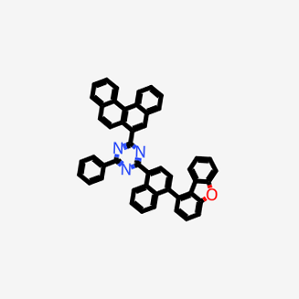 c1ccc(-c2nc(-c3ccc(-c4cccc5oc6ccccc6c45)c4ccccc34)nc(-c3cc4ccccc4c4c3ccc3ccccc34)n2)cc1